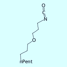 CCCCCCCCOCCCN=C=O